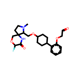 CN1CCC2(COC(F)C(=O)N2)C1COC1CCC(c2ccccc2OCC=O)CC1